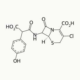 O=C(O)C1=C(Cl)CS[C@H]2C(NC(=O)C(C(=O)O)c3ccc(O)cc3)C(=O)N12